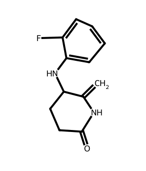 C=C1NC(=O)CCC1Nc1ccccc1F